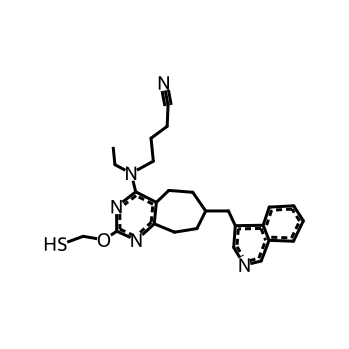 CCN(CCCC#N)c1nc(OCS)nc2c1CCC(Cc1cncc3ccccc13)CC2